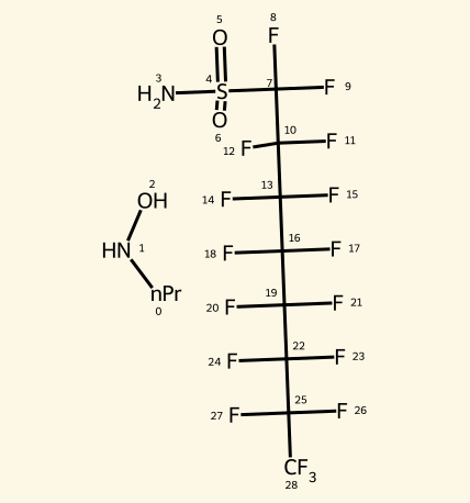 CCCNO.NS(=O)(=O)C(F)(F)C(F)(F)C(F)(F)C(F)(F)C(F)(F)C(F)(F)C(F)(F)C(F)(F)F